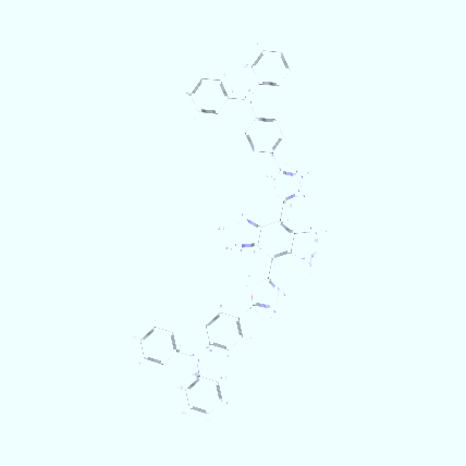 c1ccc(N(c2ccccc2)c2ccc(-c3nnc(-c4c5c(c(-c6nnc(-c7ccc(N(c8ccccc8)c8ccccc8)cc7)o6)c6nsnc46)N=S=N5)o3)cc2)cc1